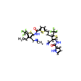 C=NCc1c(NC(=O)c2ccc(CCc3c(C(F)(F)F)sc(NC(=O)c4ccc[nH]4)c3C#N)s2)sc(C(F)(F)F)c1CC